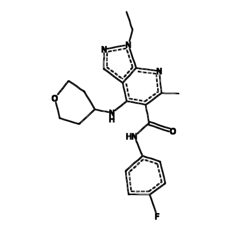 CCn1ncc2c(NC3CCOCC3)c(C(=O)Nc3ccc(F)cc3)c(C)nc21